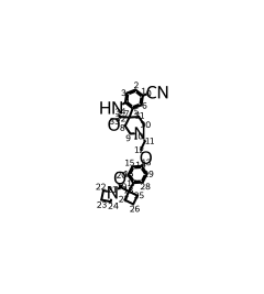 N#Cc1ccc2c(c1)C1(CCN(CCOc3ccc(C4(C(=O)N5CCC5)CCC4)cc3)CC1)C(=O)N2